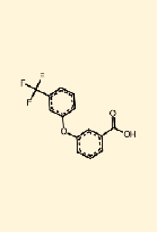 O=C(O)c1cccc(Oc2cccc(C(F)(F)F)c2)c1